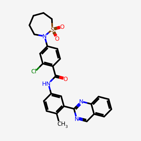 Cc1ccc(NC(=O)c2ccc(N3CCCCCS3(=O)=O)cc2Cl)cc1-c1ncc2ccccc2n1